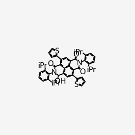 CC(C)c1cccc(C(C)C)c1N1C(=O)c2cc(-c3cccs3)c3c4c(cc(-c5cccs5)c(c24)C1=O)C(O)N(c1c(C(C)C)cccc1C(C)C)C3=O